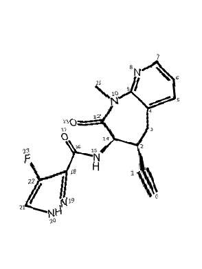 C#C[C@@H]1Cc2cccnc2N(C)C(=O)[C@@H]1NC(=O)c1n[nH]cc1F